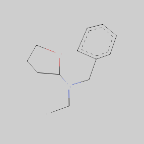 CCN(Cc1ccccc1)[C]1CCCO1